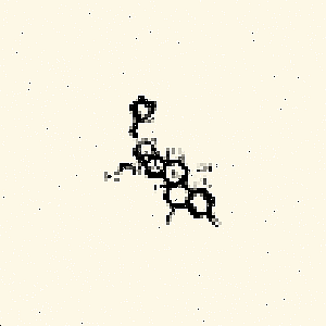 C[C@]12C[C@H](O)[C@@]3(F)[C@@H](C[C@H](F)C4=CC(=O)C=C[C@@]43C)[C@]1(C)C[C@H]1CN(Cc3cccs3)O[C@]12C(=O)OCC#N